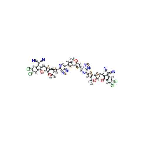 CC1(C)Oc2cc(-c3cnc(-c4cc5c(s4)-c4sc(/C=C6\C(=O)c7cc(Cl)c(Cl)cc7C6=C(C#N)C#N)cc4OC5(C)C)c4nsnc34)sc2-c2sc(-c3cnc(-c4cc5c(s4)-c4sc(/C=C6\C(=O)c7cc(Cl)c(Cl)cc7C6=C(C#N)C#N)cc4OC5(C)C)c4nsnc34)cc21